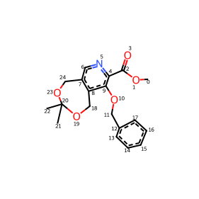 COC(=O)c1ncc2c(c1OCc1ccccc1)COC(C)(C)OC2